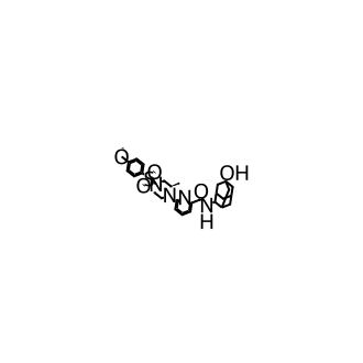 COc1ccc(S(=O)(=O)N2CCN(c3cccc(C(=O)NC4C5CC6CC4CC(O)(C6)C5)n3)[C@H](C)C2)cc1